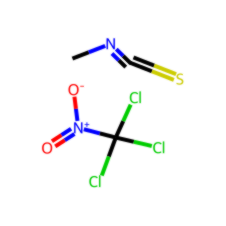 CN=C=S.O=[N+]([O-])C(Cl)(Cl)Cl